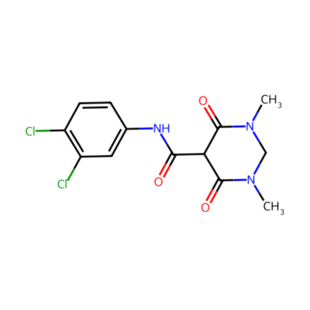 CN1CN(C)C(=O)C(C(=O)Nc2ccc(Cl)c(Cl)c2)C1=O